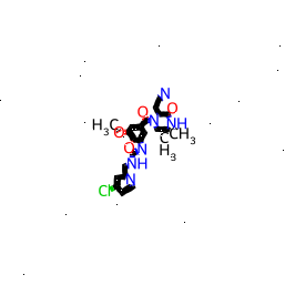 COc1cc(C(=O)N2CC(C)(C)NC(=O)C2CC#N)cc2nc(NCc3cc(Cl)ccn3)oc12